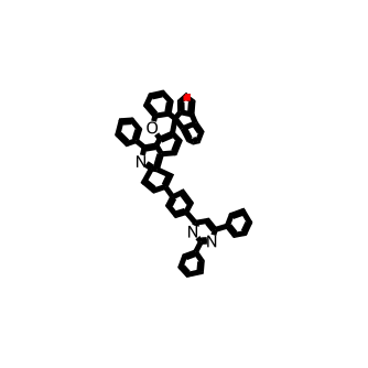 c1ccc(-c2cc(-c3ccc(-c4ccc5nc(-c6ccccc6)c6c7c(ccc6c5c4)C4(c5ccccc5O7)c5ccccc5-c5ccccc54)cc3)nc(-c3ccccc3)n2)cc1